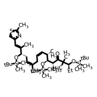 CC[C@H](O[Si](C)(C)C(C)(C)C)C(C)(C)C(=O)[C@H](C)[C@@H](O[Si](C)(C)C(C)(C)C)[C@@H](C)/C=C\C/C(C)=C\C[C@H](O[Si](C)(C)C(C)(C)C)/C(C)=C/c1csc(C)n1